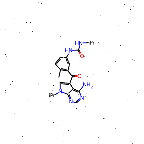 Cc1ccc(NC(=O)NC(C)C)cc1C(=O)c1cn(C(C)C)c2ncnc(N)c12